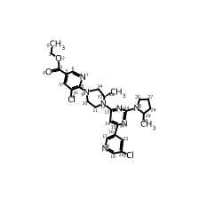 CCOC(=O)c1cnc(N2CCN(c3cc(-c4cncc(Cl)c4)nc(N4CCCC4C)n3)[C@H](C)C2)c(Cl)c1